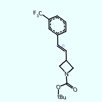 CC(C)(C)OC(=O)N1CC(/C=C/c2cccc(C(F)(F)F)c2)C1